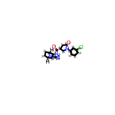 CN(C(=O)[C@@H]1CC(=O)N(c2cccc(Cl)c2)C1)[C@@H]1C[C@@H]2CC[C@H]1N2C#N